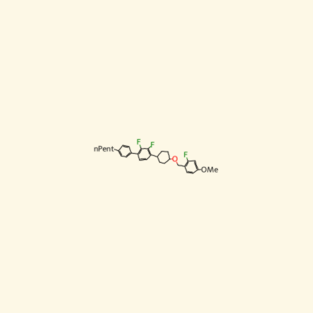 CCCCCc1ccc(-c2ccc(C3CCC(OCc4ccc(OC)cc4F)CC3)c(F)c2F)cc1